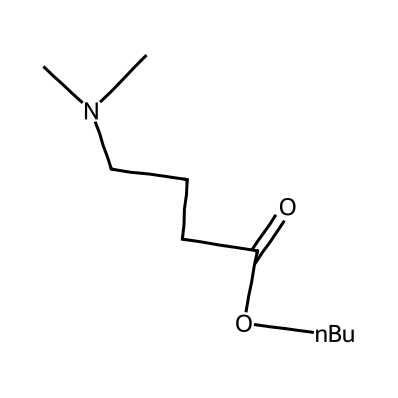 CCCCOC(=O)CCCN(C)C